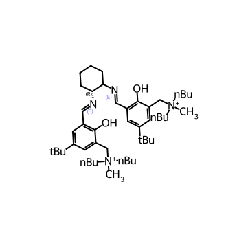 CCCC[N+](C)(CCCC)Cc1cc(C(C)(C)C)cc(/C=N/C2CCCC[C@H]2/N=C/c2cc(C(C)(C)C)cc(C[N+](C)(CCCC)CCCC)c2O)c1O